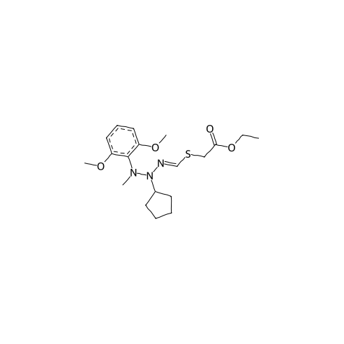 CCOC(=O)CS/C=N/N(C1CCCC1)N(C)c1c(OC)cccc1OC